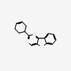 C1=CCC(c2ncc3oc4ccccc4c3n2)CC1